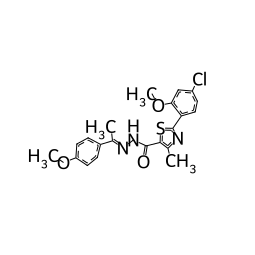 COc1ccc(/C(C)=N/NC(=O)c2sc(-c3ccc(Cl)cc3OC)nc2C)cc1